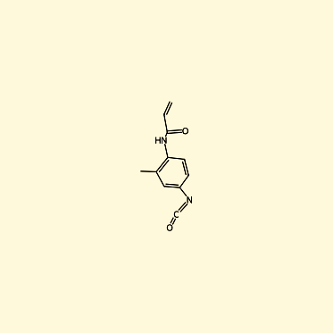 C=CC(=O)Nc1ccc(N=C=O)cc1C